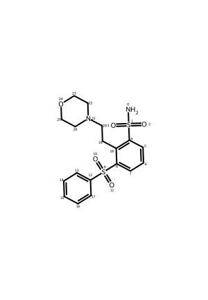 NS(=O)(=O)c1cccc(S(=O)(=O)c2ccccc2)c1CCN1CCOCC1